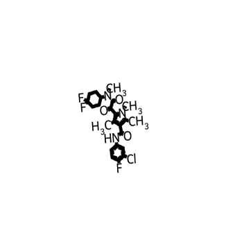 Cc1c(C(=O)Nc2ccc(F)c(Cl)c2)c(C)n(C)c1C(=O)C(=O)N(C)C1CCC(F)(F)CC1